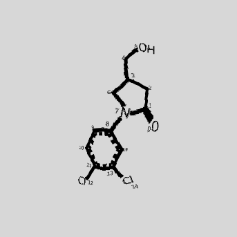 O=C1CC(CO)CN1c1ccc(Cl)c(Cl)c1